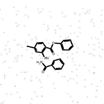 Cc1ccc(C(=O)Oc2ccccc2)c(C(C)(C)C)c1.NC(=O)c1ccccc1